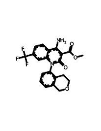 COC(=O)c1c(N)c2ccc(C(F)(F)F)cc2n(-c2cccc3c2CCOC3)c1=O